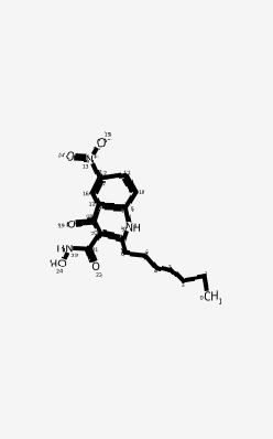 CCCCCCCc1[nH]c2ccc([N+](=O)[O-])cc2c(=O)c1C(=O)NO